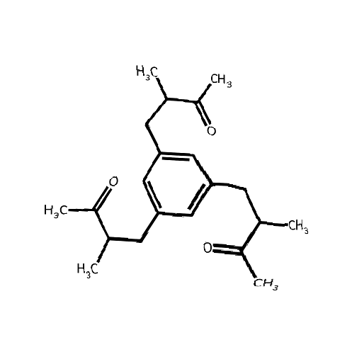 CC(=O)C(C)Cc1cc(CC(C)C(C)=O)cc(CC(C)C(C)=O)c1